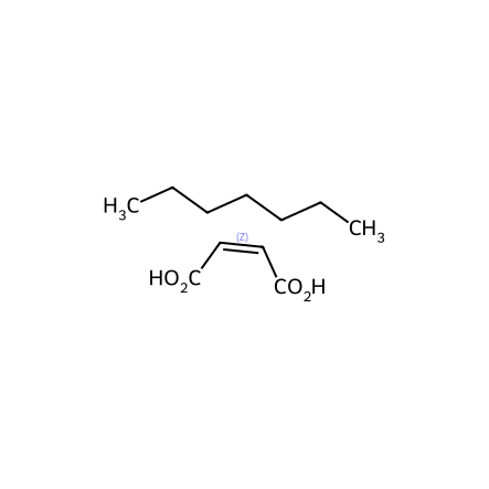 CCCCCCC.O=C(O)/C=C\C(=O)O